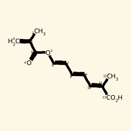 C=C(C)C(=O)OC=CC=CC=C(C)C(=O)O